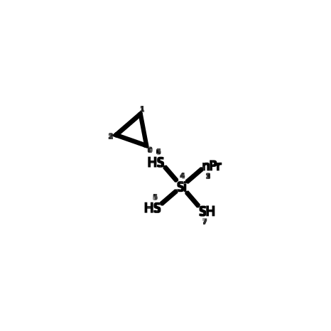 C1CC1.CCC[Si](S)(S)S